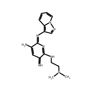 CN(C)CCNC1=N/C(=N\c2cnn3ccccc23)C(N)=CC1=N